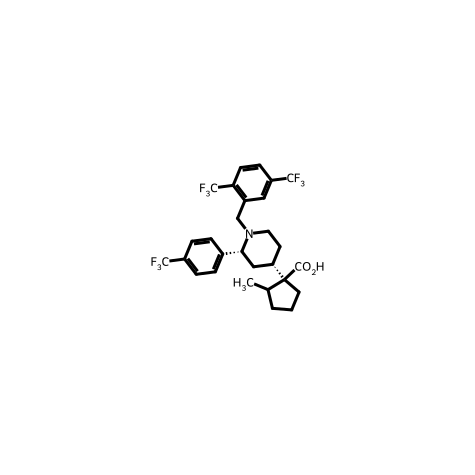 CC1CCCC1(C(=O)O)[C@H]1CCN(Cc2cc(C(F)(F)F)ccc2C(F)(F)F)[C@@H](c2ccc(C(F)(F)F)cc2)C1